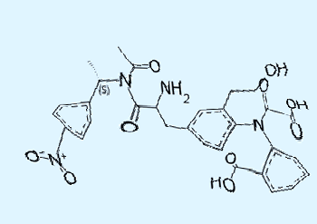 CC(=O)N(C(=O)C(N)Cc1ccc(N(C(=O)C(=O)O)c2ccccc2C(=O)O)c(CCO)c1)[C@@H](C)c1ccc([N+](=O)[O-])cc1